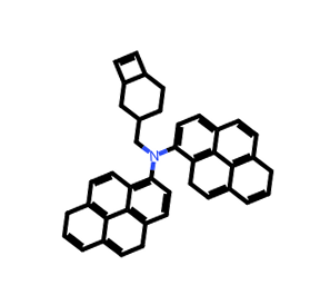 C1=CC2=CCc3c(N(CC4CCC5C=CC5C4)c4ccc5c6c7c(ccc46)CC=CC7=CC5)ccc4ccc(c2c34)C1